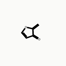 C=C1OC=CC1=O